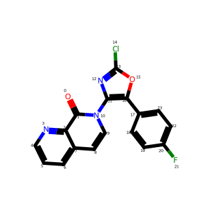 O=c1c2ncccc2ccn1-c1nc(Cl)oc1-c1ccc(F)cc1